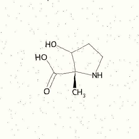 C[C@]1(C(=O)O)NCCC1O